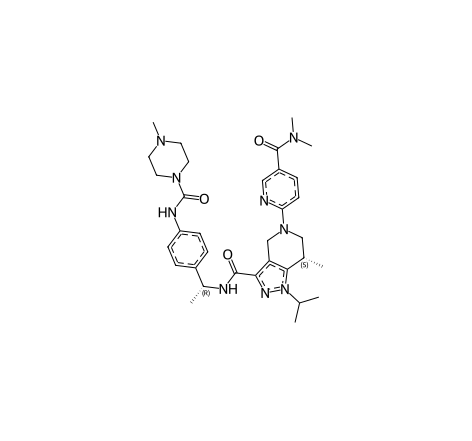 CC(C)n1nc(C(=O)N[C@H](C)c2ccc(NC(=O)N3CCN(C)CC3)cc2)c2c1[C@@H](C)CN(c1ccc(C(=O)N(C)C)cn1)C2